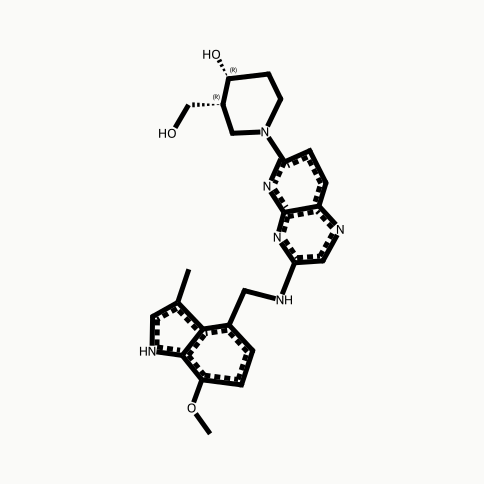 COc1ccc(CNc2cnc3ccc(N4CC[C@@H](O)[C@@H](CO)C4)nc3n2)c2c(C)c[nH]c12